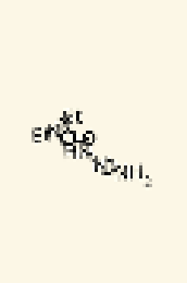 CCn1c[n+](CC)c2ccc(C(=O)NCCN3CCC(N)CC3)cc21